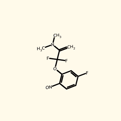 C=C(N(C)C)C(F)(F)Oc1cc(F)ccc1N=O